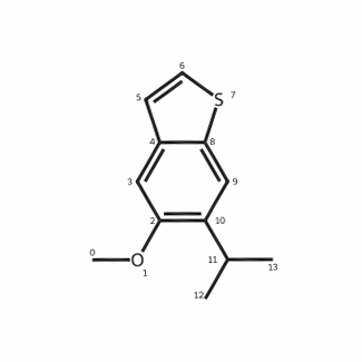 COc1cc2ccsc2cc1C(C)C